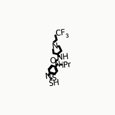 CC(C)N(C(=O)NC1CCN(CCCC(F)(F)F)CC1)c1ccc2nc(S)sc2c1